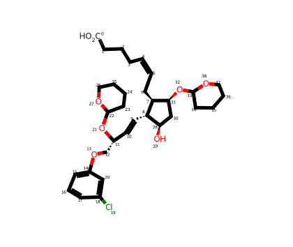 O=C(O)CCC/C=C\C[C@@H]1[C@@H](/C=C/[C@H](COc2cccc(Cl)c2)OC2CCCCO2)[C@H](O)C[C@@H]1OC1CCCCO1